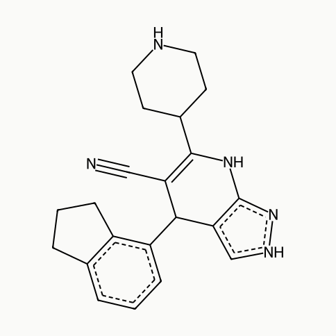 N#CC1=C(C2CCNCC2)Nc2n[nH]cc2C1c1cccc2c1CCC2